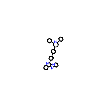 C1=C(c2ccc(-c3ccc(-c4nc5ccccc5c5nc6ccccn6c45)cc3)cc2)CC=C(c2ccccc2)N=C1c1ccccc1